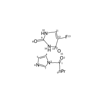 CCCC(=O)n1ccnc1.O=c1[nH]cc(F)c(=O)[nH]1